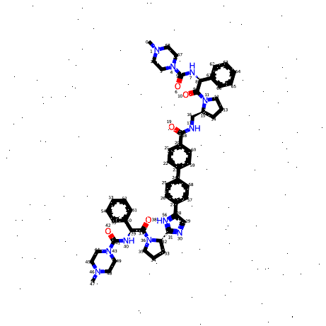 CN1CCN(C(=O)N[C@@H](C(=O)N2CCC[C@H]2CNC(=O)c2ccc(-c3ccc(-c4cnc([C@@H]5CCCN5C(=O)[C@H](NC(=O)N5CCN(C)CC5)c5ccccc5)[nH]4)cc3)cc2)c2ccccc2)CC1